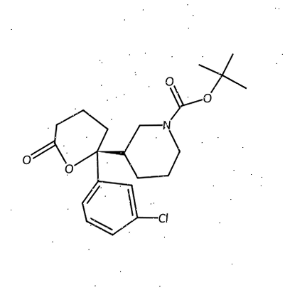 CC(C)(C)OC(=O)N1CCCC([C@]2(c3cccc(Cl)c3)CCCC(=O)O2)C1